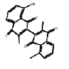 CC1=C(C2=C(C)C(=O)c3cccc(O)c3C2=O)C(=O)c2c(C)cccc2C1=O